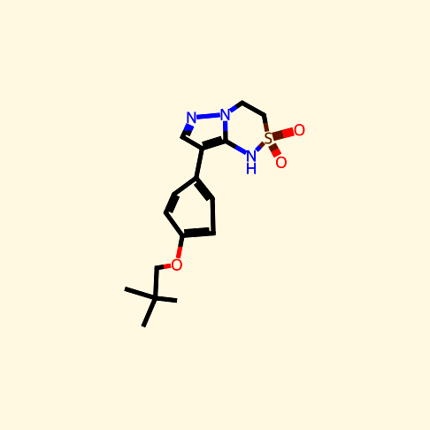 CC(C)(C)COc1ccc(-c2cnn3c2NS(=O)(=O)CC3)cc1